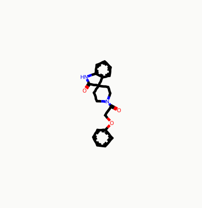 O=C(COc1ccccc1)N1CCC2(CC1)C(=O)Nc1ccccc12